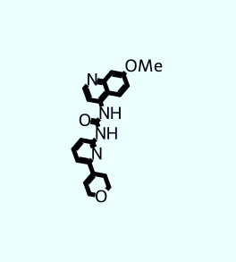 COc1ccc2c(NC(=O)Nc3cccc(C4=CCOCC4)n3)ccnc2c1